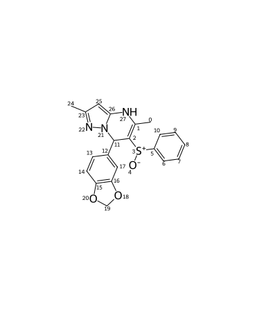 CC1=C([S+]([O-])c2ccccc2)C(c2ccc3c(c2)OCO3)n2nc(C)cc2N1